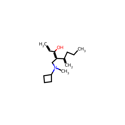 C=C/C(O)=C(\CN(C)C1CCC1)C(=C)CCC